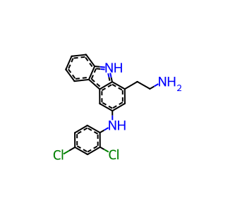 NCCc1cc(Nc2ccc(Cl)cc2Cl)cc2c1[nH]c1ccccc12